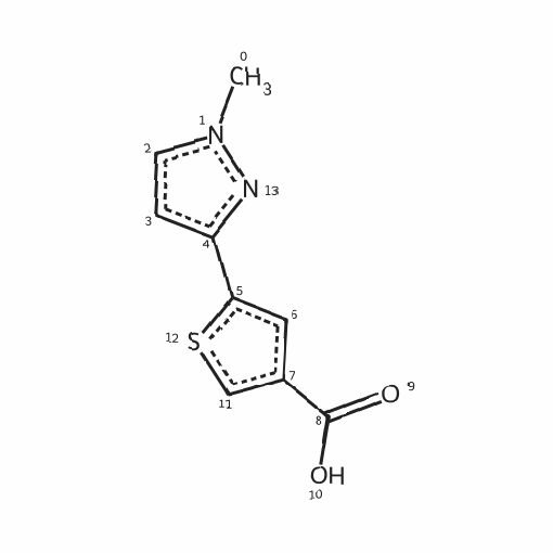 Cn1ccc(-c2cc(C(=O)O)cs2)n1